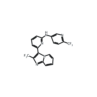 FC(F)(F)c1ccc(Nc2cccc(-c3c(C(F)(F)F)nc4ccccn34)n2)cn1